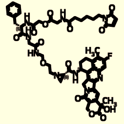 Cc1c(F)cc2nc3c(c4c2c1CC[C@@H]4NC(=O)[C@@H]1CN1CCOCNC(=O)CNC(=O)[C@H](Cc1ccccc1)NC(=O)COC(=O)CNC(=O)CCCCCN1C(=O)C=CC1=O)Cn1c-3cc2c(c1=O)COC(=O)[C@@]2(C)O